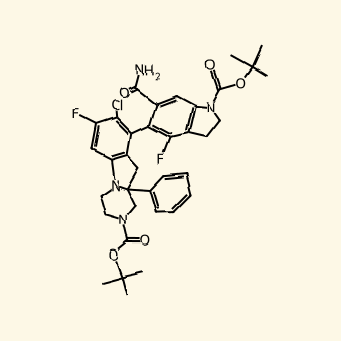 CC(C)(C)OC(=O)N1CCN2c3cc(F)c(Cl)c(-c4c(C(N)=O)cc5c(c4F)CCN5C(=O)OC(C)(C)C)c3CC2(c2ccccc2)C1